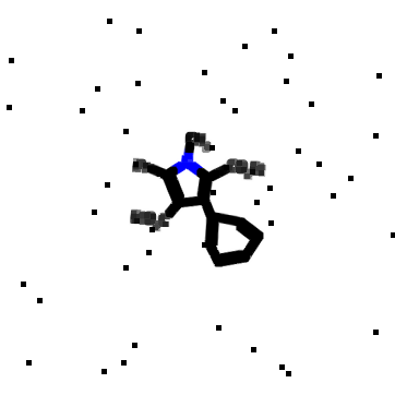 CCOC(=O)c1c(-c2ccccc2)c(C(=O)OCC)n(C)c1C(C)C